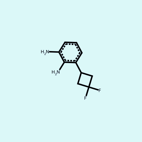 Nc1cccc(C2CC(F)(F)C2)c1N